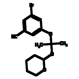 CC(C)(Oc1cc(Br)cc(C#N)c1)OC1CCCCO1